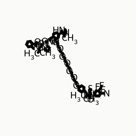 Cc1nc[nH]c1-c1ccc(CNC(=O)[C@@H]2CCCN2C(=O)C(C(C)C)N2Cc3ccccc3C2=O)c(OCCOCCOCCOCCOCCOCCOc2ccc(N3C(=S)N(c4ccc(C#N)c(C(F)(F)F)c4)C(=O)C3(C)C)cc2)c1